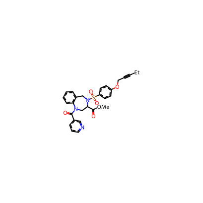 CCC#CCOc1ccc(S(=O)(=O)N2Cc3ccccc3N(C(=O)c3cccnc3)CC2C(=O)OC)cc1